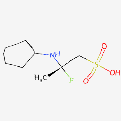 C[C@](F)(CS(=O)(=O)O)NC1CCCC1